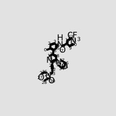 Cc1ccc(NC(=O)c2ccnc(C(F)(F)F)c2)cc1-c1cnc(C#CCN2CCOCC2=O)c(N2CCOCC2)c1